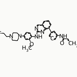 C=CC(=O)Nc1cccc(-c2cccc3cnc(Nc4ccc(N5CCN(CCF)CC5)cc4OC)nc23)c1